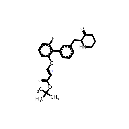 CC(C)(C)OC(=O)/C=C/Oc1cccc(F)c1-c1cccc(CC2NCCCC2=O)c1